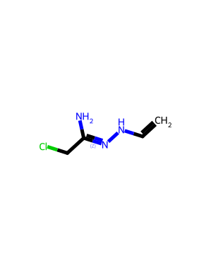 C=CN/N=C(\N)CCl